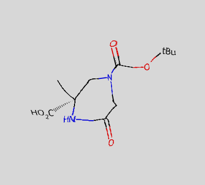 CC(C)(C)OC(=O)N1CC(=O)N[C@](C)(C(=O)O)C1